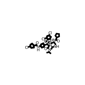 CC(C)N1CC2NCC(NC(=O)C3CCCC3)C(=O)N2C(C(c2ccc(NC(=O)c3ccc(Cl)cc3)cc2)S(=O)(=O)c2ccc(Cl)cc2Cl)C1=O